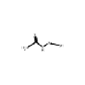 NC(=S)NSS